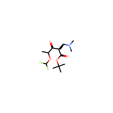 CC(OC(F)F)C(=O)/C(=C/N(C)C)C(=O)OC(C)(C)C